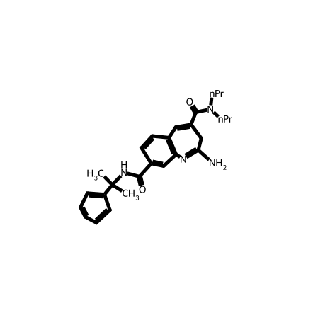 CCCN(CCC)C(=O)C1=Cc2ccc(C(=O)NC(C)(C)c3ccccc3)cc2N=C(N)C1